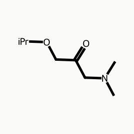 CC(C)OCC(=O)CN(C)C